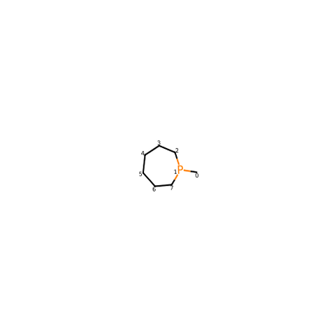 CP1CCCCCC1